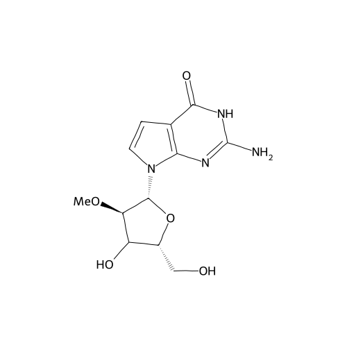 CO[C@@H]1C(O)[C@@H](CO)O[C@H]1n1ccc2c(=O)[nH]c(N)nc21